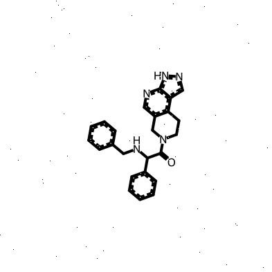 O=C(C(NCc1ccccc1)c1ccccc1)N1CCc2c(cnc3[nH]ncc23)C1